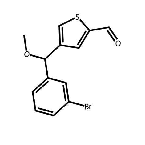 COC(c1cccc(Br)c1)c1csc(C=O)c1